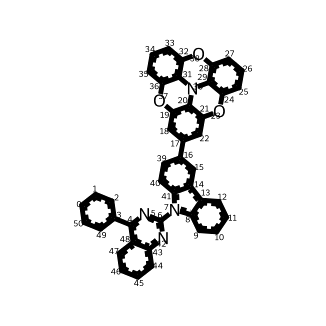 c1ccc(-c2nc(-n3c4ccccc4c4cc(-c5cc6c7c(c5)Oc5cccc8c5N7c5c(cccc5O6)O8)ccc43)nc3ccccc23)cc1